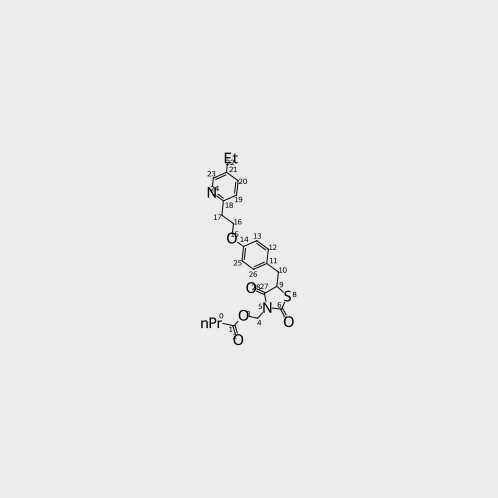 CCCC(=O)OCN1C(=O)SC(Cc2ccc(OCCc3ccc(CC)cn3)cc2)C1=O